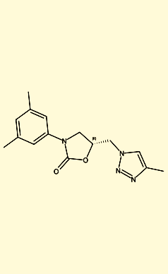 Cc1cc(C)cc(N2C[C@H](Cn3cc(C)nn3)OC2=O)c1